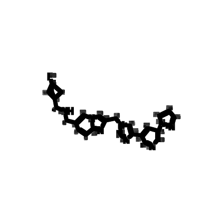 FC12CC(CNCc3ccc4nc(Cn5cc(-c6cncc(-n7cccn7)c6)nn5)cn4c3)(C1)C2